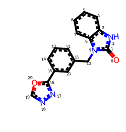 O=c1[nH]c2ccccc2n1Cc1cccc(-c2nnco2)c1